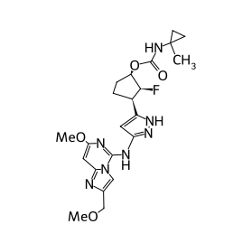 COCc1cn2c(Nc3cc([C@H]4CC[C@@H](OC(=O)NC5(C)CC5)[C@H]4F)[nH]n3)nc(OC)cc2n1